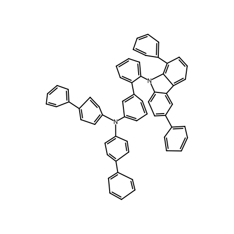 c1ccc(-c2ccc(N(c3ccc(-c4ccccc4)cc3)c3cccc(-c4ccccc4-n4c5ccc(-c6ccccc6)cc5c5cccc(-c6ccccc6)c54)c3)cc2)cc1